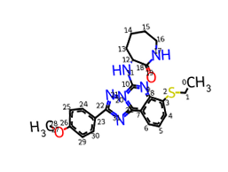 CCSc1cccc2c1nc(N[C@@H]1CCCCNC1=O)n1nc(-c3ccc(OC)cc3)nc21